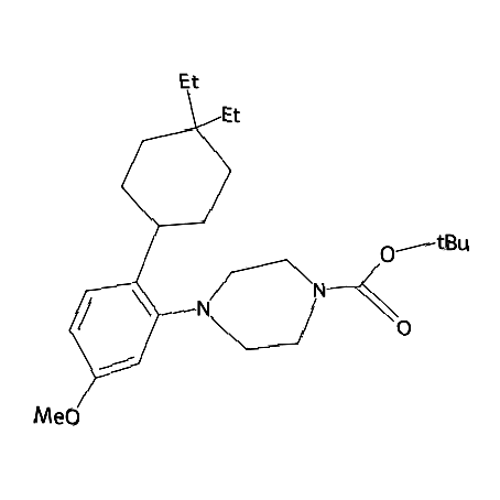 CCC1(CC)CCC(c2ccc(OC)cc2N2CCN(C(=O)OC(C)(C)C)CC2)CC1